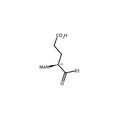 CCC(=O)[C@H](CCC(=O)O)NC